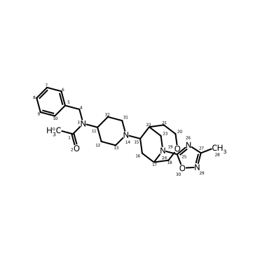 CC(=O)N(Cc1ccccc1)C1CCN(C2CC3COCCC2CN3c2nc(C)no2)CC1